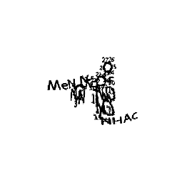 CNc1ncnc2c1ncn2CC1(N2C[C@H](CNC(C)=O)OC2=O)C=CC(c2ccccc2)=C(F)C1